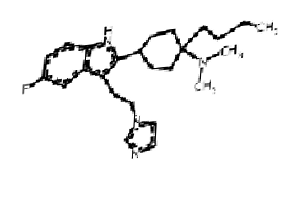 CCCCC1(N(C)C)CCC(c2[nH]c3ccc(F)cc3c2CCn2ccnc2)CC1